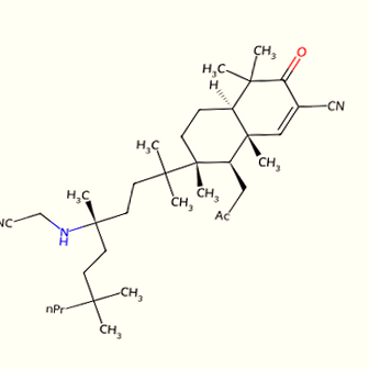 CCCC(C)(C)CC[C@@](C)(CCC(C)(C)[C@]1(C)CC[C@H]2C(C)(C)C(=O)C(C#N)=C[C@]2(C)[C@H]1CC(C)=O)NCC#N